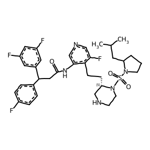 CC(C)CC1CCCN1S(=O)(=O)N1CCNC[C@@H]1CCc1c(F)cncc1NC(=O)CC(c1ccc(F)cc1)c1cc(F)cc(F)c1